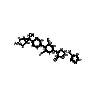 N#CC1(c2ccc(-c3c(F)cc(N4C[C@H](Cn5ccnn5)OC4=O)cc3F)cn2)C2CNCC21